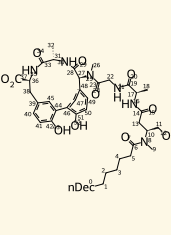 CCCCCCCCCCCCCCCC(=O)N(C)[C@H](CO)CC(=O)N[C@H](C)C(=O)NCC(=O)N(C)[C@@H]1C(=O)N[C@@H](C)C(=O)N[C@H](C(=O)O)Cc2ccc(O)c(c2)-c2cc1ccc2O